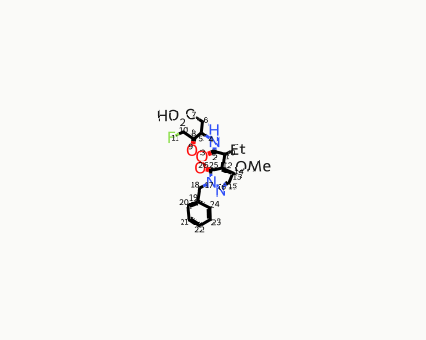 CCC(C(=O)NC(CC(=O)O)C(=O)CF)c1c(OC)cnn(Cc2ccccc2)c1=O